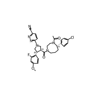 COc1ccc([C@@H]2CN(c3ccc(C#N)nn3)C[C@H]2C(=O)N2CCC[C@@H](c3ccc(Cl)cc3)N(C(C)=O)CC2)c(F)c1